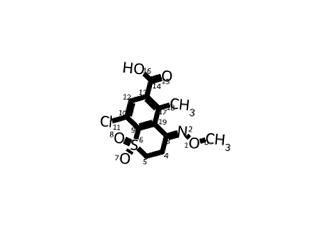 CO/N=C1\CCS(=O)(=O)c2c(Cl)cc(C(=O)O)c(C)c21